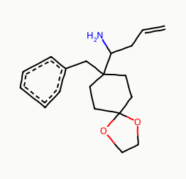 C=CCC(N)C1(Cc2ccccc2)CCC2(CC1)OCCO2